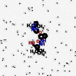 CN1CCC[C@@]1(C)c1nnc2ccc(O[C@@H]3CC[C@H](NC(=O)Nc4cc(CO)cc(C(C)(C)C)c4)c4ccccc43)cn12